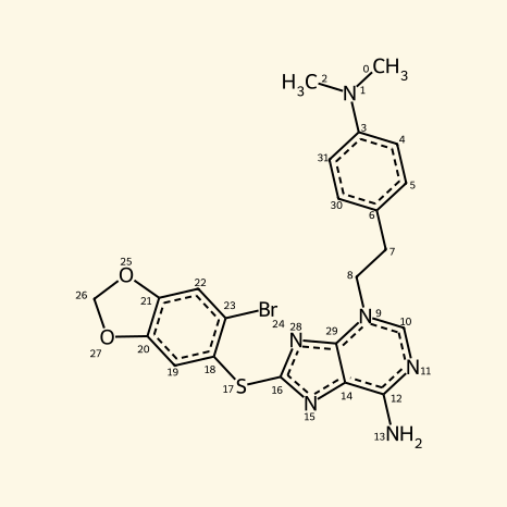 CN(C)c1ccc(CCn2cnc(N)c3nc(Sc4cc5c(cc4Br)OCO5)nc2-3)cc1